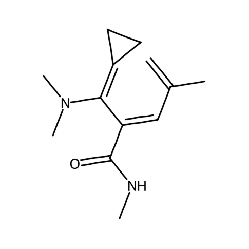 C=C(C)/C=C(/C(=O)NC)C(=C1CC1)N(C)C